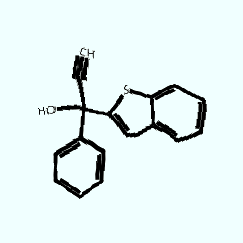 C#CC(O)(c1ccccc1)c1cc2ccccc2s1